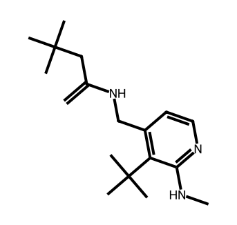 C=C(CC(C)(C)C)NCc1ccnc(NC)c1C(C)(C)C